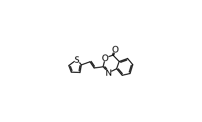 O=c1oc(C=Cc2cccs2)nc2ccccc12